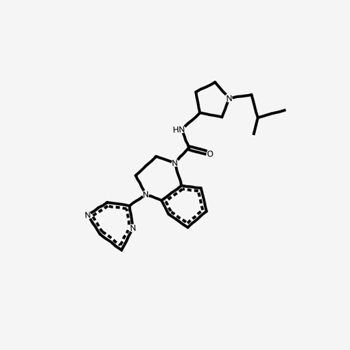 CC(C)CN1CCC(NC(=O)N2CCN(c3cnccn3)c3ccccc32)C1